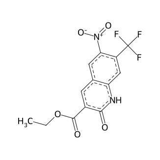 CCOC(=O)c1cc2cc([N+](=O)[O-])c(C(F)(F)F)cc2[nH]c1=O